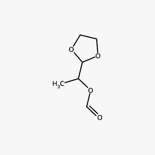 CC(OC=O)C1OCCO1